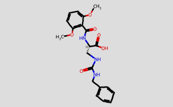 COc1cccc(OC)c1C(=O)N[C@@H](CNC(=O)NCc1ccccc1)C(=O)O